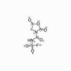 O=C1CN(C(=O)NS(=O)(=O)F)C(=O)O1